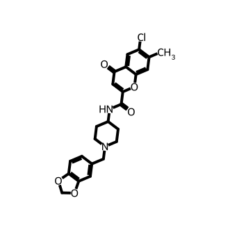 Cc1cc2oc(C(=O)NC3CCN(Cc4ccc5c(c4)OCO5)CC3)cc(=O)c2cc1Cl